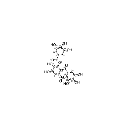 O=C(Oc1c(O)c(O)cc(C(=O)O)c1C(=O)c1cc(O)c(O)c(O)c1)c1cc(O)c(O)c(O)c1